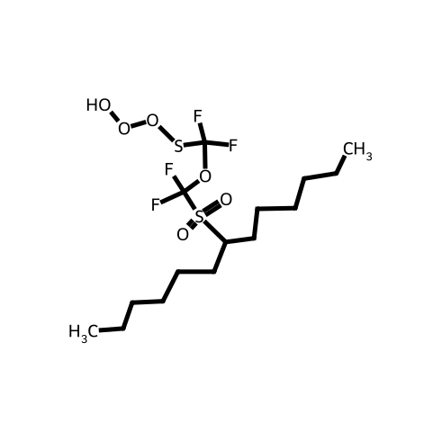 CCCCCCC(CCCCCC)S(=O)(=O)C(F)(F)OC(F)(F)SOOO